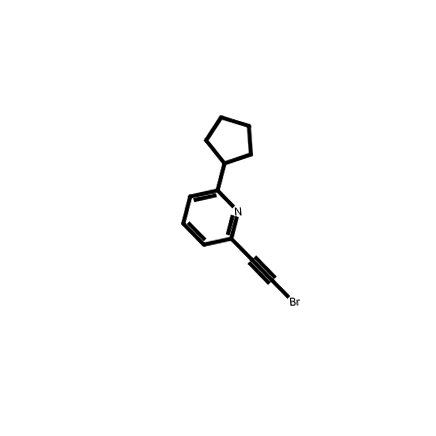 BrC#Cc1cccc(C2CCCC2)n1